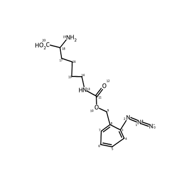 [N-]=[N+]=Nc1ccccc1COC(=O)NCCCCC(N)C(=O)O